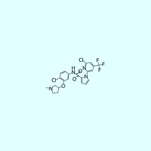 CN1CCC(Oc2cc(NS(=O)(=O)c3cccn3-c3cc(C(F)(F)F)cc(Cl)n3)ccc2Cl)C1